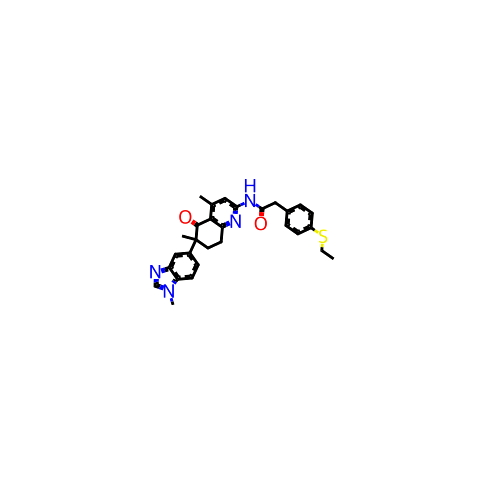 CCSc1ccc(CC(=O)Nc2cc(C)c3c(n2)CCC(C)(c2ccc4c(c2)ncn4C)C3=O)cc1